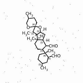 CC1CC[C@@]2(OC1)O[C@H]1C[C@H]3C(C=O)[C@@H]([C@@]4(C)CC[C@H](C)C[C@@H]4C=O)CC[C@]3(C)[C@H]1[C@@H]2C